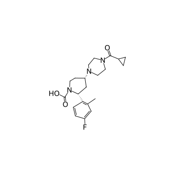 Cc1cc(F)ccc1[C@H]1C[C@@H](N2CCN(C(=O)C3CC3)CC2)CCN1C(=O)O